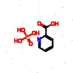 O=C(O)c1ccccn1.O=P(O)(O)O